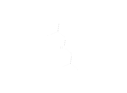 CC(C)BBBC(C)C